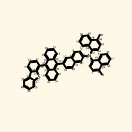 Cc1ccc(N(c2ccc3cc(-c4c5ccccc5c(-c5cccc6c5sc5ccccc56)c5ccccc45)ccc3c2)c2ccc(C)c3ccccc23)c2ccccc12